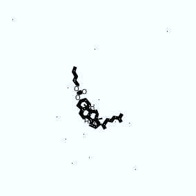 CCCCCOC(=O)O[C@H]1CC[C@@]2(C)C(=CC[C@H]3[C@@H]4CC[C@H](C(C)CCCC(C)C)[C@@]4(C)CC[C@@H]32)C1